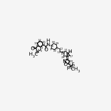 CN1Cc2c(C(=O)N[C@H]3CC[C@H](CCN4C[C@@H]5C[C@]5(c5cc(C(C)(F)F)on5)C4)CC3)cccc2C1=O